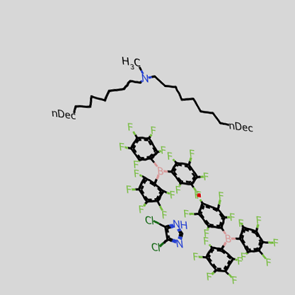 CCCCCCCCCCCCCCCCCCN(C)CCCCCCCCCCCCCCCCCC.Clc1nc[nH]c1Cl.Fc1c(F)c(F)c(B(c2c(F)c(F)c(F)c(F)c2F)c2c(F)c(F)c(F)c(F)c2F)c(F)c1F.Fc1c(F)c(F)c(B(c2c(F)c(F)c(F)c(F)c2F)c2c(F)c(F)c(F)c(F)c2F)c(F)c1F